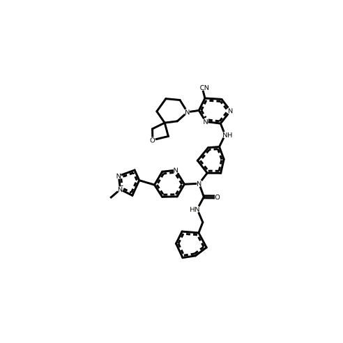 Cn1cc(-c2ccc(N(C(=O)NCc3ccccc3)c3ccc(Nc4ncc(C#N)c(N5CCCC6(COC6)C5)n4)cc3)nc2)cn1